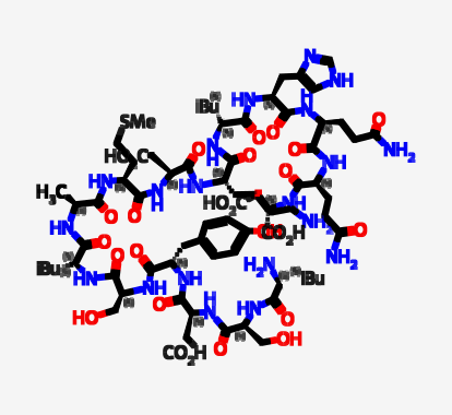 CC[C@H](C)[C@H](N)C(=O)N[C@@H](CO)C(=O)N[C@@H](CC(=O)O)C(=O)N[C@@H](Cc1ccc(O)cc1)C(=O)N[C@@H](CO)C(=O)N[C@H](C(=O)N[C@@H](C)C(=O)N[C@@H](CCSC)C(=O)N[C@@H](CC(=O)O)C(=O)N[C@@H](CCCCN)C(=O)N[C@H](C(=O)N[C@@H](Cc1c[nH]cn1)C(=O)N[C@@H](CCC(N)=O)C(=O)N[C@@H](CCC(N)=O)C(=O)N[C@@H](CC(=O)O)C(=O)O)[C@@H](C)CC)[C@@H](C)CC